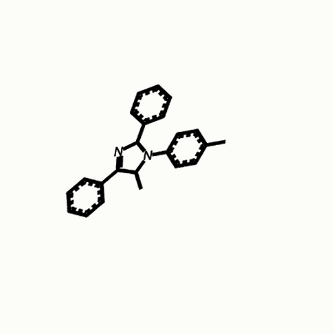 Cc1ccc(N2C(C)C(c3ccccc3)=NC2c2ccccc2)cc1